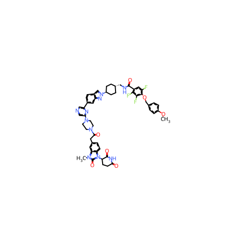 COc1ccc(COc2c(F)cc(C(=O)NC[C@H]3CC[C@H](n4cc5ccc(-c6cncc(N7CCN(C(=O)Cc8ccc9c(c8)n(C)c(=O)n9C8CCC(=O)NC8=O)CC7)n6)cc5n4)CC3)c(F)c2F)cc1